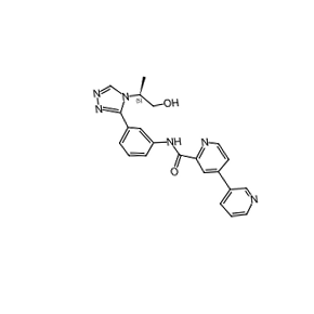 C[C@@H](CO)n1cnnc1-c1cccc(NC(=O)c2cc(-c3cccnc3)ccn2)c1